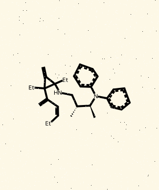 C=C(/C=C\CC)C1(CC)C(=C)C1(CC)NC[C@@H](C)[C@H](C)N(c1ccccc1)c1ccccc1